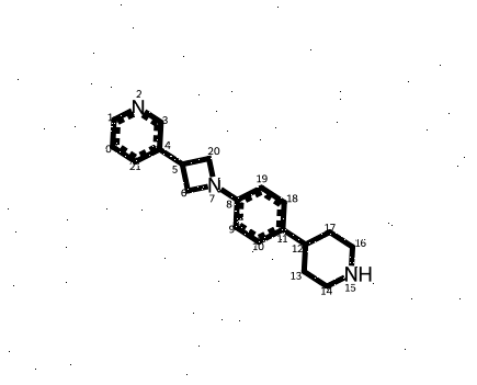 c1cncc(C2CN(c3ccc(C4CCNCC4)cc3)C2)c1